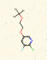 [2H]C([2H])([2H])OCCOc1cnc(Cl)c(F)c1